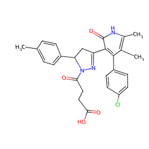 Cc1ccc(C2CC(c3c(-c4ccc(Cl)cc4)c(C)c(C)[nH]c3=O)=NN2C(=O)CCC(=O)O)cc1